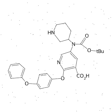 CC(C)(C)OC(=O)N(c1cnc(Oc2ccc(Oc3ccccc3)cc2)c(C(=O)O)c1)C1CCCNC1